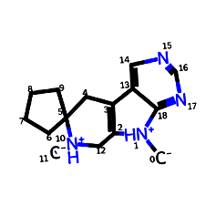 [CH2-][NH+]1C2=C(CC3(CCCC3)[NH+]([CH2-])C2)c2cncnc21